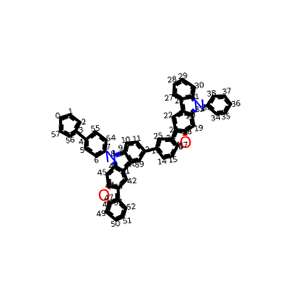 c1ccc(-c2ccc(-n3c4ccc(-c5ccc6oc7cc8c(cc7c6c5)c5ccccc5n8-c5ccccc5)cc4c4cc5c(cc43)oc3ccccc35)cc2)cc1